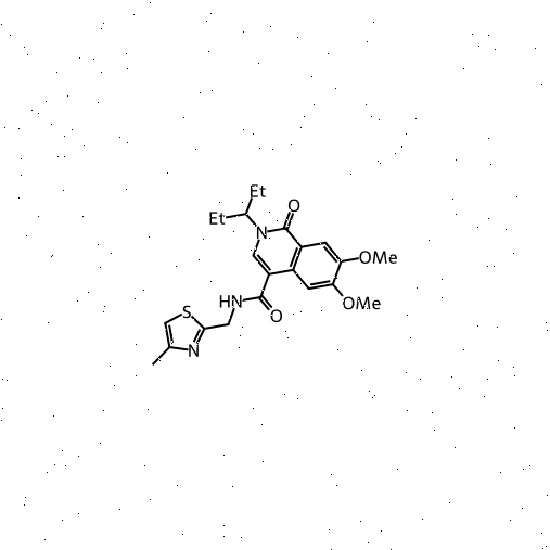 CCC(CC)n1cc(C(=O)NCc2nc(C)cs2)c2cc(OC)c(OC)cc2c1=O